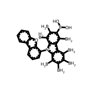 Bc1c(B)c(B)c2c(c1B)c1c(B)c(B(O)O)c(B)c(B)c1n2-c1cccc2c1oc1ccccc12